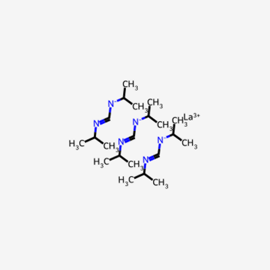 CC(C)N=C[N-]C(C)C.CC(C)N=C[N-]C(C)C.CC(C)N=C[N-]C(C)C.[La+3]